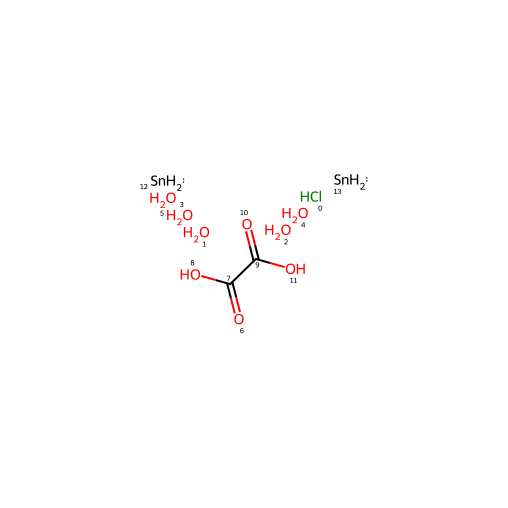 Cl.O.O.O.O.O.O=C(O)C(=O)O.[SnH2].[SnH2]